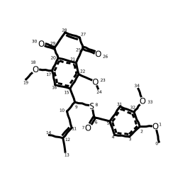 COc1ccc(C(=O)SC(CC=C(C)C)c2cc(OC)c3c(c2OC)C(=O)C=CC3=O)cc1OC